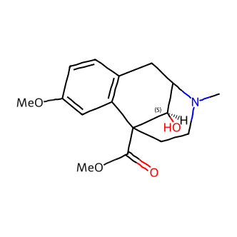 COC(=O)C12CCN(C)C(Cc3ccc(OC)cc31)[C@H]2O